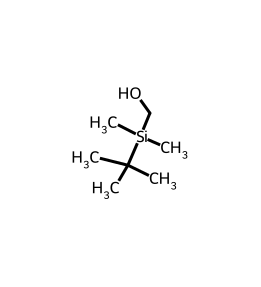 CC(C)(C)[Si](C)(C)CO